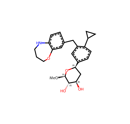 CO[C@H]1O[C@@H](c2ccc(C3CC3)c(Cc3ccc4c(c3)OCCCN4)c2)C[C@@H](O)[C@@H]1O